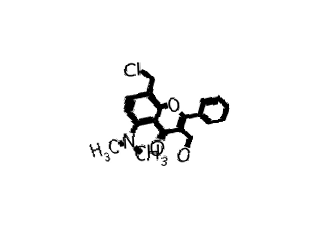 CN(C)c1ccc(CCl)c2oc(-c3ccccc3)c(C=O)c(=O)c12